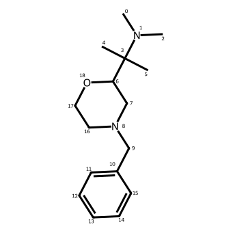 CN(C)C(C)(C)C1CN(Cc2ccccc2)CCO1